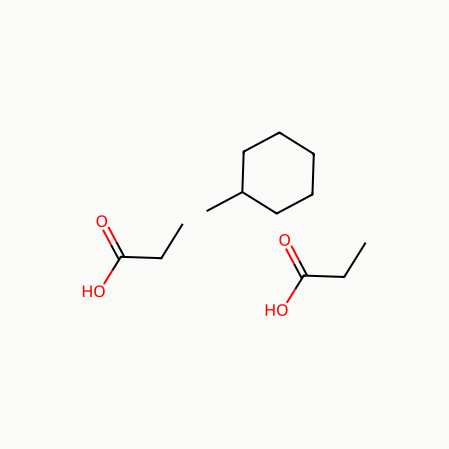 CC1CCCCC1.CCC(=O)O.CCC(=O)O